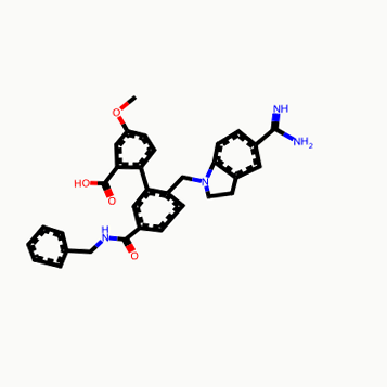 COc1ccc(-c2cc(C(=O)NCc3ccccc3)ccc2CN2CCc3cc(C(=N)N)ccc32)c(C(=O)O)c1